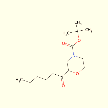 CCCCCC(=O)C1CN(C(=O)OC(C)(C)C)CCO1